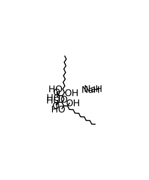 CCCCCCCCCCC(O)C(O)C(OC(C(=O)O)C(O)C(O)CCCCCCCCCC)C(=O)O.[NaH].[NaH]